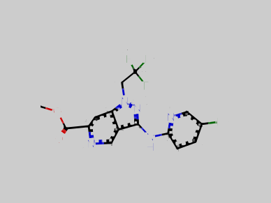 COC(=O)c1cc2c(cn1)c(Nc1ccc(F)cn1)nn2CC(F)(F)F